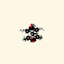 Cc1ccc2c(c1)c1cc(C)ccc1n2-c1nc(-n2c3ccccc3c3cc(C(F)(F)F)ccc32)c(-n2c3ccccc3c3cc(C(F)(F)F)ccc32)c(C#N)c1-n1c2ccc(C)cc2c2cc(C)ccc21